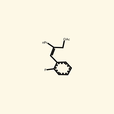 CCCC(=Cc1ccccc1F)COC(C)=O